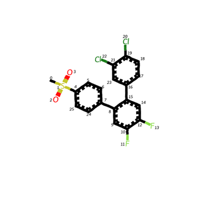 CS(=O)(=O)c1ccc(-c2cc(F)c(F)cc2-c2ccc(Cl)c(Cl)c2)cc1